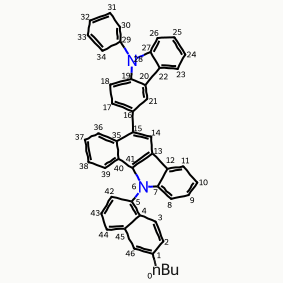 CCCCc1ccc2c(-n3c4ccccc4c4cc(-c5ccc6c(c5)c5ccccc5n6-c5ccccc5)c5ccccc5c43)cccc2c1